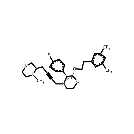 CN1CCNCC1CC#CCN1CCO[C@@H](OCCc2cc(C(F)(F)F)cc(C(F)(F)F)c2)[C@@H]1c1ccc(F)cc1